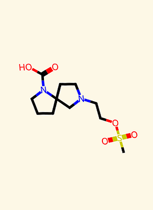 CS(=O)(=O)OCCN1CCC2(CCCN2C(=O)O)C1